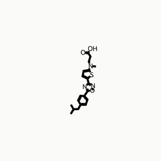 CC(C)Cc1ccc(-c2nc(-c3ccc(N(C)CCC(=O)O)s3)no2)cc1